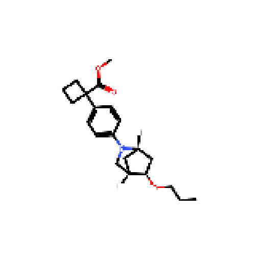 CCCO[C@@H]1C[C@@H]2C[C@H]1CN2c1ccc(C2(C(=O)OC)CCC2)cc1